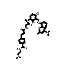 Cc1cc(N(C)C)c2cccc(OCc3c(Cl)ccc(N(C)C(=O)CNC(=O)/C=C/c4ccc(C(=O)NCCN(C)C)cc4)c3Cl)c2n1